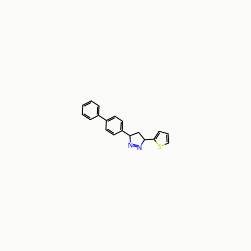 c1ccc(-c2ccc(C3CC(c4cccs4)N=N3)cc2)cc1